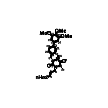 CCCCCCC=CCN1C(=O)[C@H](Cc2ccc(-c3cc(OC)c(OC)c(OC)c3)cc2)N(C)C(=O)[C@@H]1C